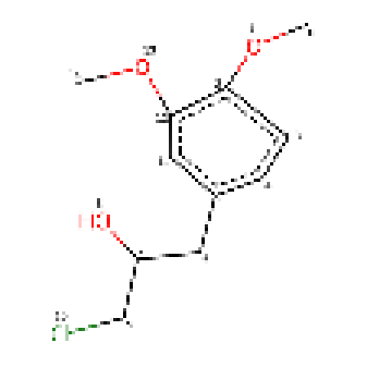 COc1ccc(CC(O)CCl)cc1OC